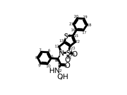 O=C(NO)[C@@H](c1ccccc1)N1Cc2sc(-c3ccccc3)cc2S1(=O)=O